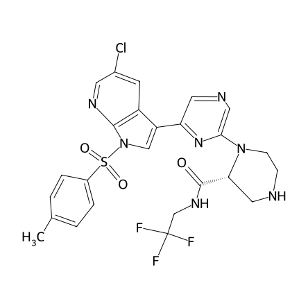 Cc1ccc(S(=O)(=O)n2cc(-c3cncc(N4CCNC[C@@H]4C(=O)NCC(F)(F)F)n3)c3cc(Cl)cnc32)cc1